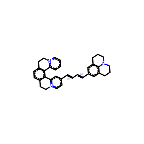 C(/C=C/c1cc[n+]2c(c1)-c1c(ccc3c1-c1cccc[n+]1CC3)CC2)=C\c1cc2c3c(c1)CCCN3CCC2